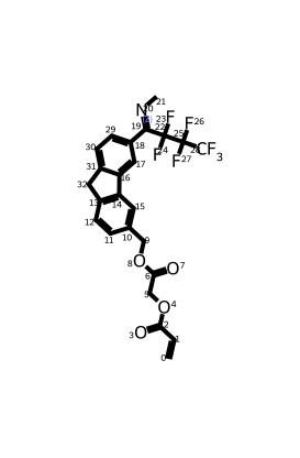 C=CC(=O)OCC(=O)OCc1ccc2c(c1)-c1cc(/C(=N/C)C(F)(F)C(F)(F)C(F)(F)F)ccc1C2